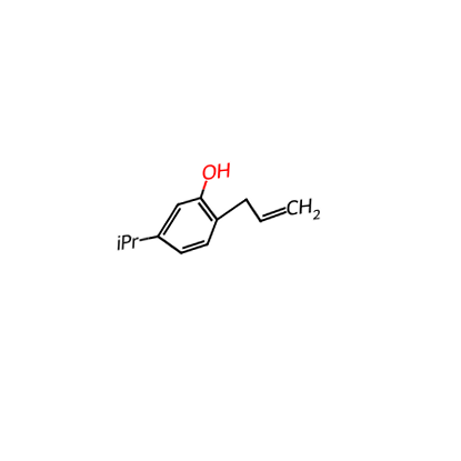 C=CCc1ccc(C(C)C)cc1O